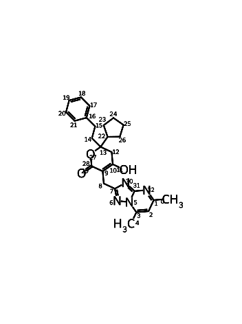 Cc1cc(C)n2nc(CC3=C(O)CC(CCc4ccccc4)(C4CCCC4)OC3=O)nc2n1